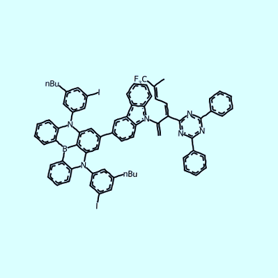 C=C(/C(=C\C=C(/C)C(F)(F)F)c1nc(-c2ccccc2)nc(-c2ccccc2)n1)n1c2ccccc2c2cc(-c3cc4c5c(c3)N(c3cc(I)cc(CCCC)c3)c3ccccc3B5c3ccccc3N4c3cc(I)cc(CCCC)c3)ccc21